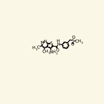 Cc1nnc2sc(C(=O)Nc3cccc(CS(C)(=O)=O)c3)c(N)c2c1C